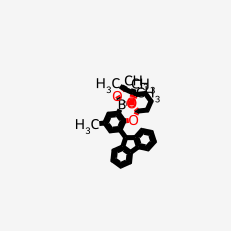 Cc1cc(B2OC(C)(C)C(C)(C)O2)c(OC2CCCCO2)c(C2c3ccccc3-c3ccccc32)c1